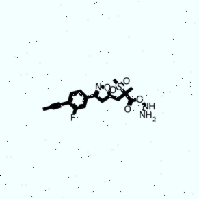 CC#Cc1ccc(C2=NOC(CC(C)(C(=O)ONN)S(C)(=O)=O)C2)cc1F